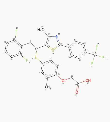 Cc1cc(SC(Cc2c(F)cccc2F)c2sc(-c3ccc(C(F)(F)F)cc3)nc2C)ccc1OCC(=O)O